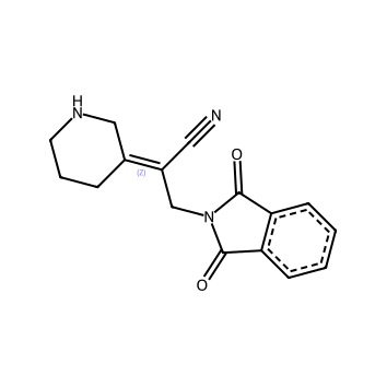 N#C/C(CN1C(=O)c2ccccc2C1=O)=C1/CCCNC1